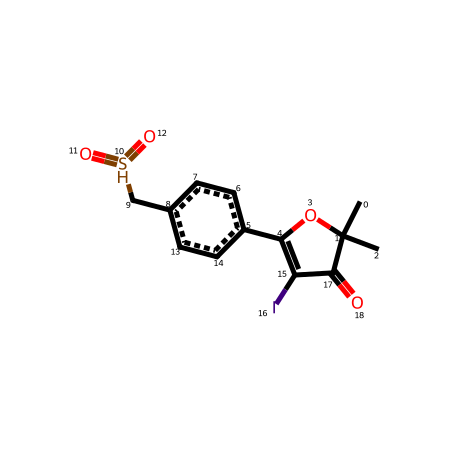 CC1(C)OC(c2ccc(C[SH](=O)=O)cc2)=C(I)C1=O